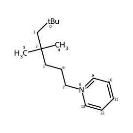 CC(C)(C)CC(C)(C)CCC[n+]1ccccc1